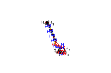 CO[C@H]1C=CC=C(C)C(=O)NC2=CC(=O)C(NCCCNC(=O)CCCN3C(=O)CC(SC[C@H]4CCN5CC[C@H](CSC[C@H]6CCN7CC[C@H](CSC[C@H]8CCN9CC[C@H](CSC[C@H]%10CCN%11CC[C@H](CO[Si](c%12ccccc%12)(c%12ccccc%12)C(C)(C)C)N=C%11N%10)N=C9N8)N=C7N6)N=C5N4)C3=O)=C(C[C@@H](C)C[C@H](OC)[C@H](O)[C@@H](C)C=C(C)[C@@H]1OC(N)=O)C2=O